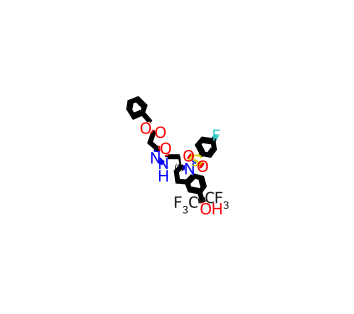 O=C(CC1=NNC(C[C@@H]2CCc3cc(C(O)(C(F)(F)F)C(F)(F)F)ccc3N2S(=O)(=O)c2ccc(F)cc2)O1)OCc1ccccc1